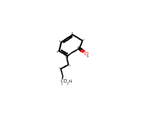 O=C(O)CCC1=CC=CCC1=O